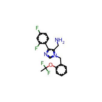 CC(F)(F)Oc1ccccc1Cn1cnc(-c2ccc(F)cc2F)c1CN